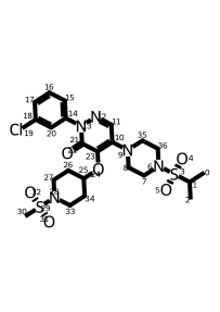 CC(C)S(=O)(=O)N1CCN(c2cnn(-c3cccc(Cl)c3)c(=O)c2OC2CCN(S(C)(=O)=O)CC2)CC1